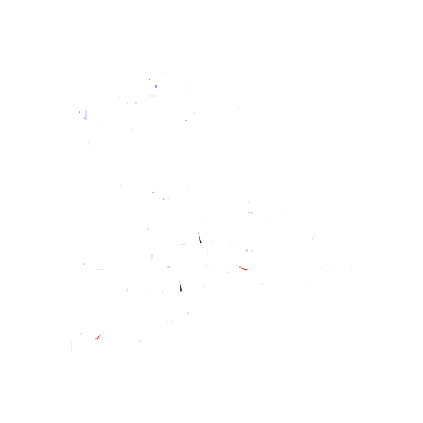 CC(=O)CC(=O)c1cccc(C(N)=O)c1ON.C[C@H](CCC(=O)O)[C@H]1CC[C@H]2[C@@H]3CC[C@@H]4C[C@H](O)CC[C@]4(C)[C@H]3C[C@H](O)[C@]12C